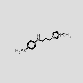 C[n+]1ccn(CCCNc2ccc([AsH2])cc2)c1